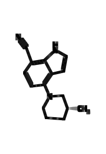 C[C@@H]1CCCN(c2ccc(C#N)c3[nH]ccc23)C1